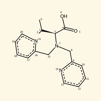 CC(C)[C@@H](C(=O)O)N(Cc1ccccn1)Cc1ccccn1